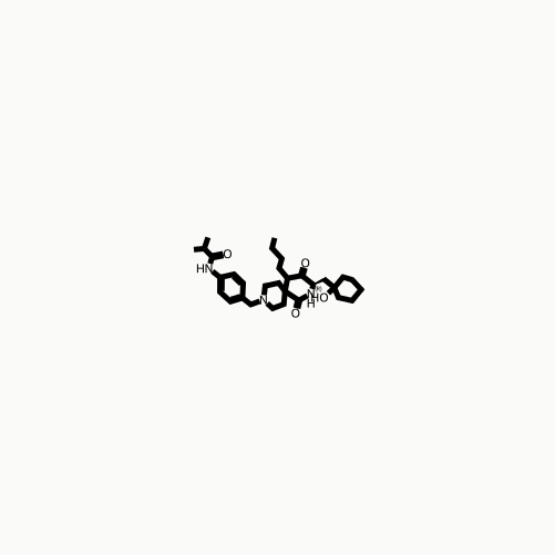 CCCCC1C(=O)[C@@H](CC2(O)CCCCC2)NC(=O)C12CCN(Cc1ccc(NC(=O)C(C)C)cc1)CC2